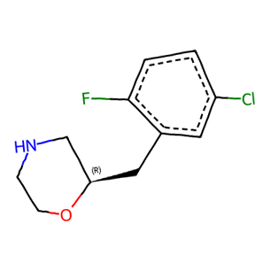 Fc1ccc(Cl)cc1C[C@@H]1CNCCO1